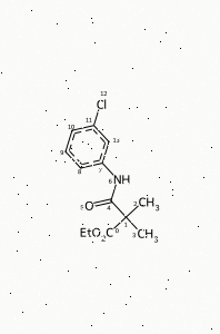 CCOC(=O)C(C)(C)C(=O)Nc1cccc(Cl)c1